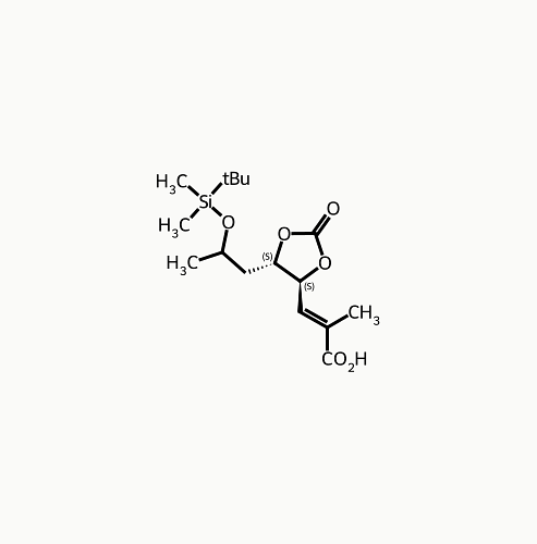 CC(=C[C@@H]1OC(=O)O[C@H]1CC(C)O[Si](C)(C)C(C)(C)C)C(=O)O